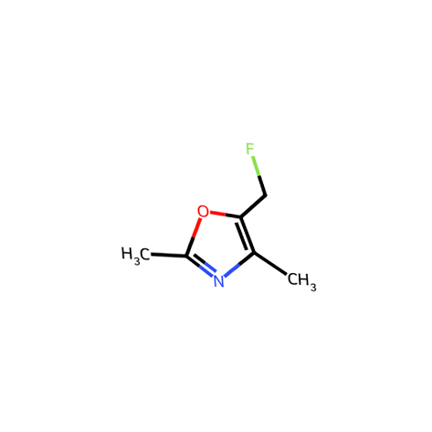 Cc1nc(C)c(CF)o1